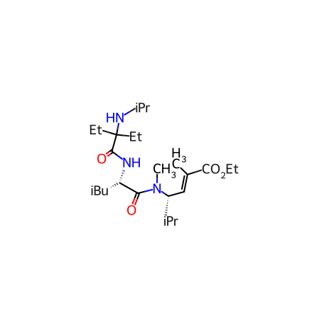 CCOC(=O)/C(C)=C/[C@H](C(C)C)N(C)C(=O)[C@@H](NC(=O)C(CC)(CC)NC(C)C)[C@@H](C)CC